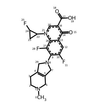 CN1CCC2=C(C1)CN(c1c(F)cc3c(=O)c(C(=O)O)cn(C4CC4F)c3c1F)C2